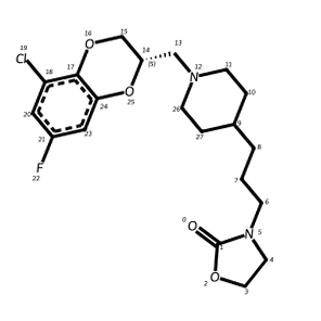 O=C1OCCN1CCCC1CCN(C[C@H]2COc3c(Cl)cc(F)cc3O2)CC1